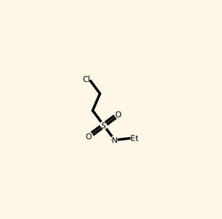 CC[N]S(=O)(=O)CCCl